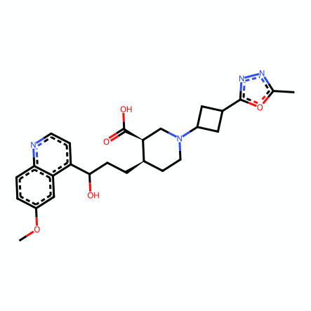 COc1ccc2nccc(C(O)CC[C@@H]3CCN(C4CC(c5nnc(C)o5)C4)C[C@@H]3C(=O)O)c2c1